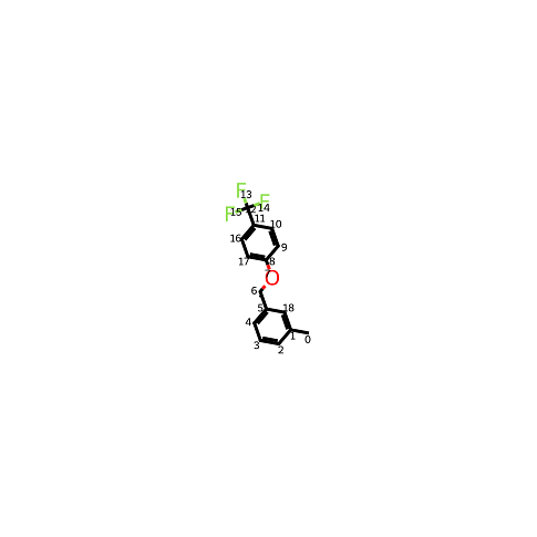 Cc1cccc([CH]Oc2ccc(C(F)(F)F)cc2)c1